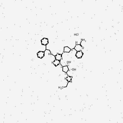 CCc1nnn([C@H]2C[C@@H](n3cnc4c(NCC(c5ccccc5)c5ccccc5)nc(N5CC[C@@H](C(NC(N)=O)c6ccccn6)C5)nc43)[C@H](O)[C@@H]2O)n1.Cl